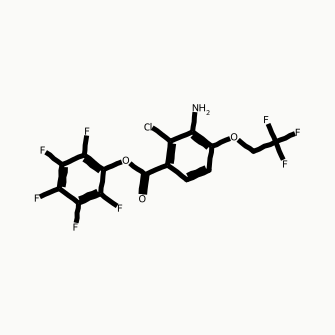 Nc1c(OCC(F)(F)F)ccc(C(=O)Oc2c(F)c(F)c(F)c(F)c2F)c1Cl